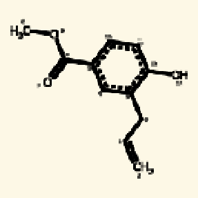 C=CCc1cc(C(=O)OC)c[c]c1O